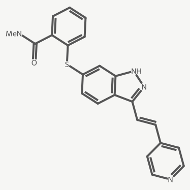 CNC(=O)c1ccccc1Sc1ccc2c(/C=C/c3ccncc3)n[nH]c2c1